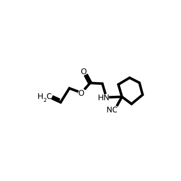 C=CCOC(=O)CNC1(C#N)CCCCC1